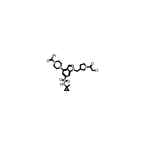 CC(C)C(=O)N1CCN(c2cc(S(=O)(=O)NC3(C)CC3)cc3c2cnn3CC2CCN(C(=O)CCl)C2)CC1